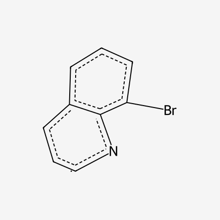 Brc1cccc2cc[c]nc12